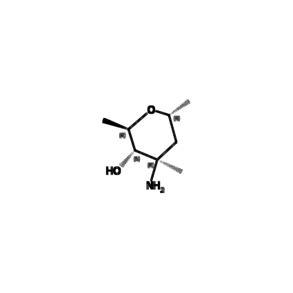 C[C@@H]1C[C@@](C)(N)[C@H](O)[C@@H](C)O1